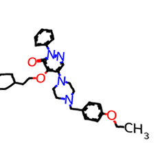 CCOc1ccc(CN2CCN(c3cnn(-c4ccccc4)c(=O)c3OCCC3CCCCC3)CC2)cc1